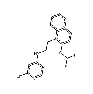 FC(F)Oc1ccc2ccccc2c1CCNc1cc(Cl)ncn1